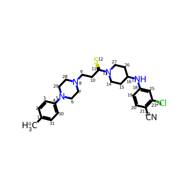 Cc1ccc(N2CCN(CCC(=S)N3CCC(Nc4ccc(C#N)c(Cl)c4)CC3)CC2)cc1